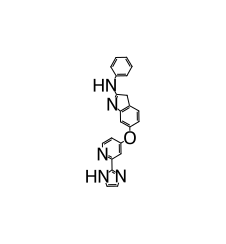 c1ccc(NC2=Nc3cc(Oc4ccnc(-c5ncc[nH]5)c4)ccc3C2)cc1